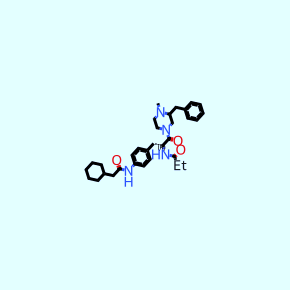 CCC(=O)N[C@H](Cc1ccc(NC(=O)CC2CCCCC2)cc1)C(=O)N1CCN(C)C(Cc2ccccc2)C1